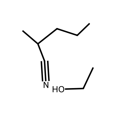 CCCC(C)C#N.CCO